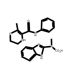 CC1=C(C(=O)Nc2ccccc2)NCCO1.CN(C(=O)O)c1nc2ccccc2[nH]1